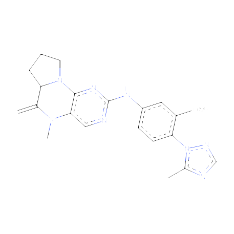 C=C1C2CCCN2c2nc(Nc3ccc(-n4ncnc4C)c(OC)c3)ncc2N1C